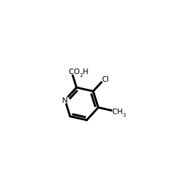 Cc1ccnc(C(=O)O)c1Cl